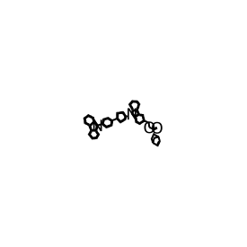 O=C(OCc1ccc2c(c1)c1ccccc1n2-c1ccc(-c2ccc(-n3c4ccccc4c4ccccc43)cc2)cc1)[C@@H]1CC2C=CC1C2